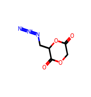 [N-]=[N+]=NCC1OC(=O)COC1=O